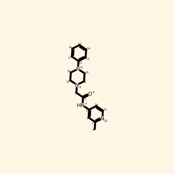 Cc1cc(NC(=O)CN2CCN(c3ccccc3)CC2)ccn1